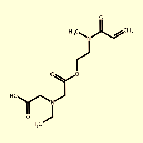 C=CC(=O)N(C)CCOC(=O)CN(CC)CC(=O)O